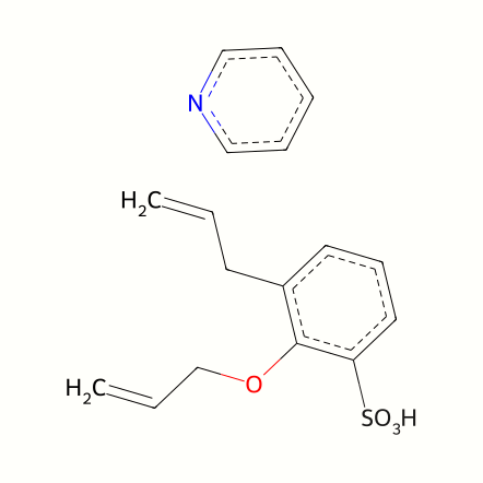 C=CCOc1c(CC=C)cccc1S(=O)(=O)O.c1ccncc1